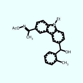 CCn1c2ccc(/C(C)=N/OC(C)=O)cc2c2cc(C(O)c3ccccc3C)ccc21